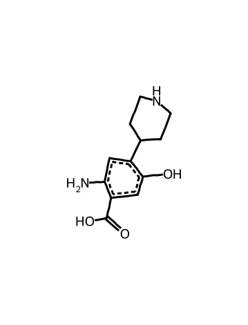 Nc1cc(C2CCNCC2)c(O)cc1C(=O)O